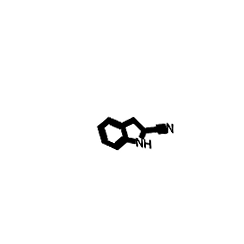 N#CC1Cc2ccccc2N1